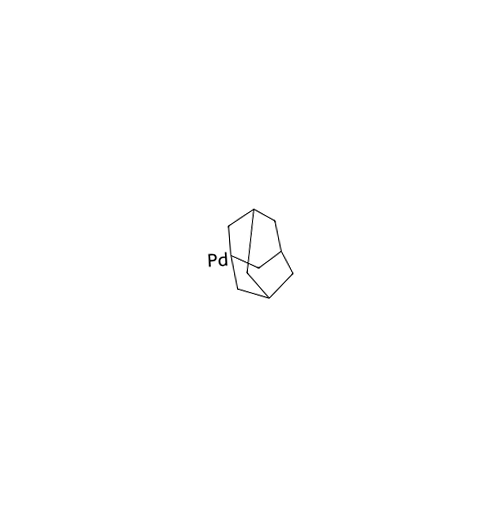 C1C2CC3CC1CC(C2)C3.[Pd]